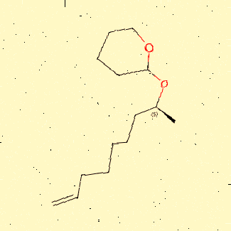 C=CCCCCC[C@H](C)OC1CCCCO1